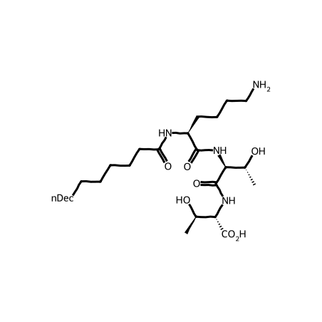 CCCCCCCCCCCCCCCC(=O)N[C@@H](CCCCN)C(=O)N[C@H](C(=O)N[C@H](C(=O)O)[C@@H](C)O)[C@@H](C)O